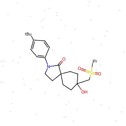 CC(C)S(=O)(=O)CC1(O)CCC2(CCN(c3ccc(C(C)(C)C)cc3)C2=O)CC1